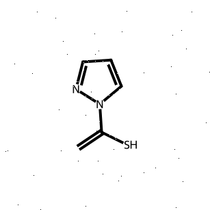 C=C(S)n1cccn1